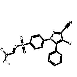 CN(C)C=NS(=O)(=O)c1ccc(-n2nc(C#N)c(Br)c2-c2ccccc2)cc1